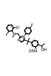 COc1cc(C(C)(C)c2cnc(CN(C)c3c(F)cccc3Cl)n2-c2ccc(F)cc2)ccc1C(C)O